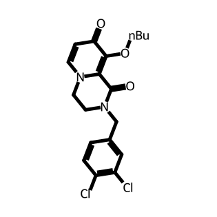 CCCCOc1c2n(ccc1=O)CCN(Cc1ccc(Cl)c(Cl)c1)C2=O